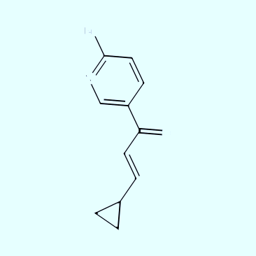 O=C(C=CC1CC1)c1ccc(Br)nc1